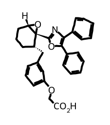 O=C(O)COc1cccc(C[C@@H]2CCC[C@@H]3O[C@]23c2nc(-c3ccccc3)c(-c3ccccc3)o2)c1